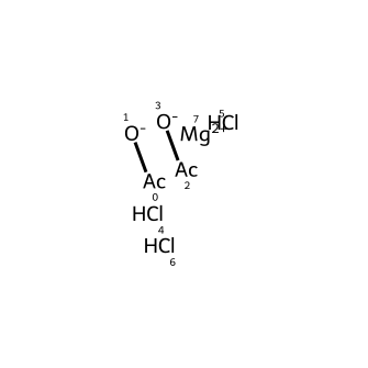 CC(=O)[O-].CC(=O)[O-].Cl.Cl.Cl.[Mg+2]